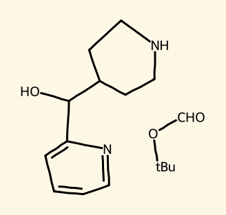 CC(C)(C)OC=O.OC(c1ccccn1)C1CCNCC1